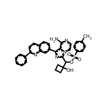 Cc1ccc(S(=O)(=O)OC(c2nc(-c3ccc4ccc(-c5ccccc5)nc4c3)c3c(N)nccn23)C2(O)CCC2)cc1